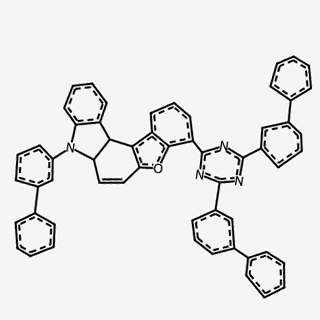 C1=CC2C(c3ccccc3N2c2cccc(-c3ccccc3)c2)c2c1oc1c(-c3nc(-c4cccc(-c5ccccc5)c4)nc(-c4cccc(-c5ccccc5)c4)n3)cccc21